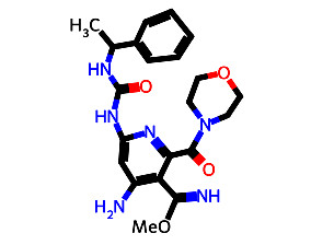 COC(=N)c1c(N)cc(NC(=O)NC(C)c2ccccc2)nc1C(=O)N1CCOCC1